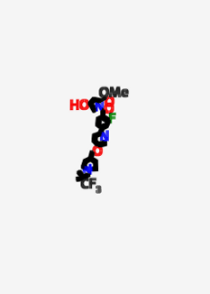 COC(=O)[C@@H]1C[C@@H](O)CN1C(=O)c1ccc(-c2ccc(OCC3CCN(CC(C)(C)C(F)(F)F)CC3)cn2)cc1F